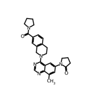 Cc1cc(N2CCCC2=O)cc2c(N3CCc4ccc(C(=O)N5CCCC5)cc4C3)ncnc12